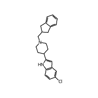 Clc1ccc2[nH]c(C3CCN(CC4Cc5ccccc5C4)CC3)cc2c1